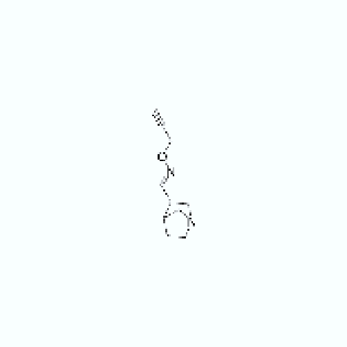 C#CCON=CC1CN2CCC1C2